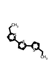 CCc1ccc(-c2ccc(-c3ccc(CC)s3)s2)s1